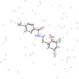 N#Cc1ccc(C(=O)N/N=C/c2cc(Cl)cc(Cl)c2O)cc1